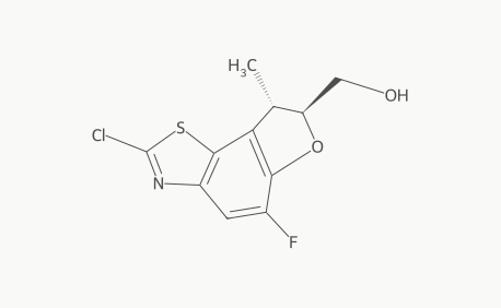 C[C@H]1c2c(c(F)cc3nc(Cl)sc23)O[C@@H]1CO